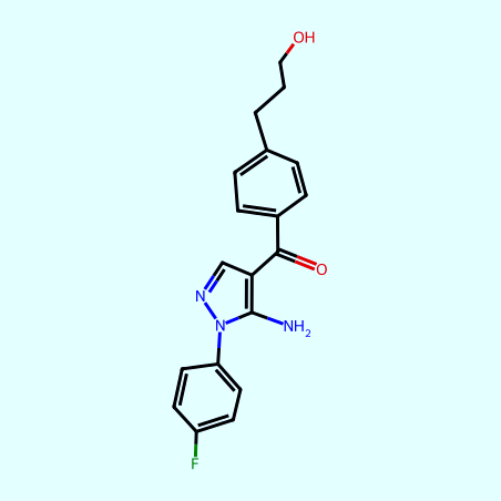 Nc1c(C(=O)c2ccc(CCCO)cc2)cnn1-c1ccc(F)cc1